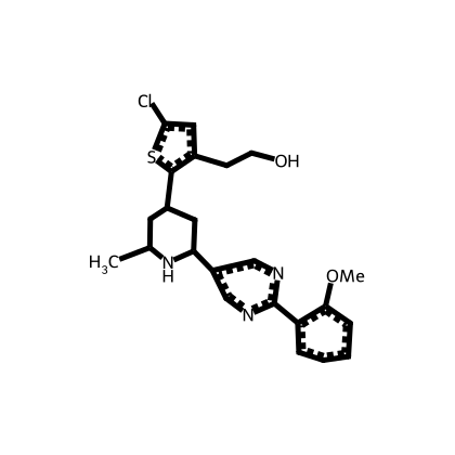 COc1ccccc1-c1ncc(C2CC(c3sc(Cl)cc3CCO)CC(C)N2)cn1